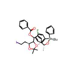 C[C@H](/C=C(/F)C(OC(=O)c1ccccc1)C1OC(C)(C)O[C@H]1CCI)[C@@H](C)O[Si](c1ccccc1)(c1ccccc1)C(C)(C)C